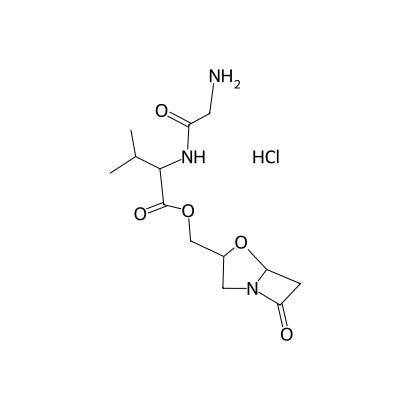 CC(C)C(NC(=O)CN)C(=O)OCC1CN2C(=O)CC2O1.Cl